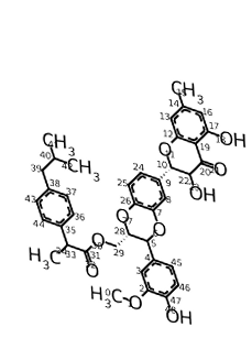 COc1cc(C2Oc3cc([C@@H]4Oc5cc(C)cc(O)c5C(=O)C4O)ccc3O[C@H]2COC(=O)C(C)c2ccc(CC(C)C)cc2)ccc1O